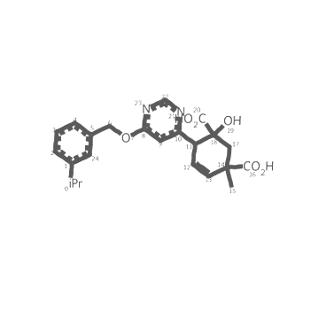 CC(C)c1cccc(COc2cc(C3C=CC(C)(C(=O)O)CC3(O)C(=O)O)ncn2)c1